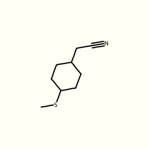 CSC1CCC(CC#N)CC1